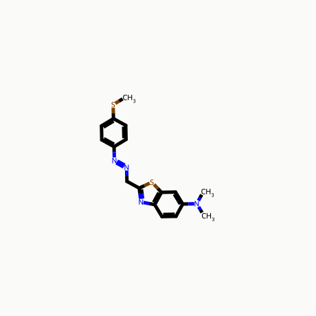 CSc1ccc(N=NCc2nc3ccc(N(C)C)cc3s2)cc1